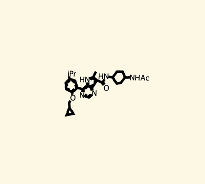 CC(=O)NC1CCC(NC(=O)c2c(C)[nH]c3c(-c4cc(C(C)C)ccc4OCC4CC4)ncnc23)CC1